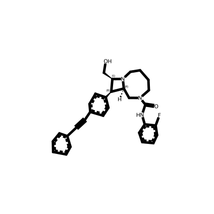 O=C(Nc1ccccc1F)N1CCCCN2[C@H](CO)[C@H](c3ccc(C#Cc4ccccc4)cc3)[C@@H]2C1